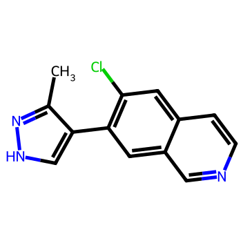 Cc1n[nH]cc1-c1cc2cnccc2cc1Cl